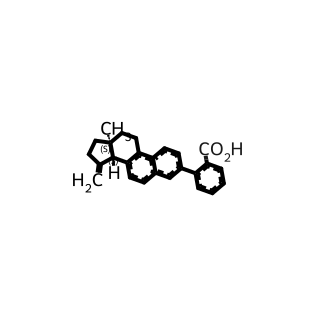 C=C1CC[C@@]2(C)CCc3c(ccc4cc(-c5ccccc5C(=O)O)ccc34)[C@H]12